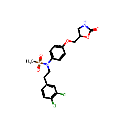 CS(=O)(=O)N(CCc1ccc(Cl)c(Cl)c1)c1ccc(OCC2CNC(=O)O2)cc1